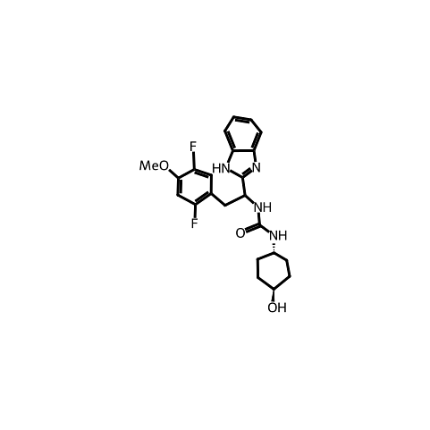 COc1cc(F)c(CC(NC(=O)N[C@H]2CC[C@H](O)CC2)c2nc3ccccc3[nH]2)cc1F